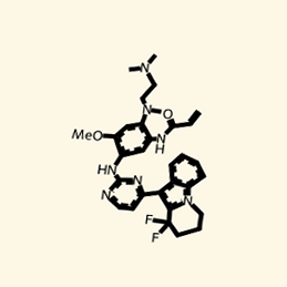 C=CC(=O)Nc1cc(Nc2nccc(-c3c4n(c5ccccc35)CCCC4(F)F)n2)c(OC)cc1N(C)CCN(C)C